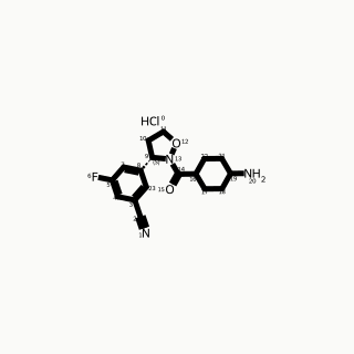 Cl.N#Cc1cc(F)cc([C@@H]2CCON2C(=O)C2CCC(N)CC2)c1